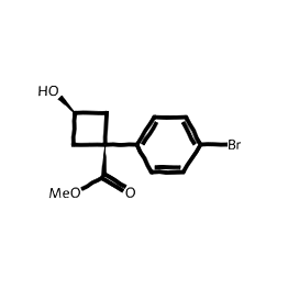 COC(=O)[C@]1(c2ccc(Br)cc2)C[C@H](O)C1